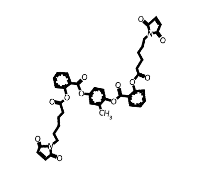 Cc1cc(OC(=O)c2ccccc2OC(=O)CCCCCN2C(=O)C=CC2=O)ccc1OC(=O)c1ccccc1OC(=O)CCCCCN1C(=O)C=CC1=O